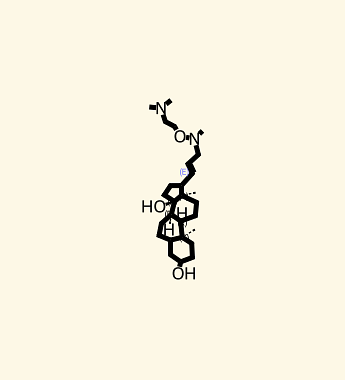 CN(C)CCON(C)C/C=C/C1CC[C@@]2(O)[C@@H]3CCC4CC(O)CC[C@]4(C)[C@@H]3CC[C@]12C